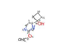 O=COc1nccc(C2(O)CCC2)n1